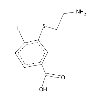 NCCSc1cc(C(=O)O)ccc1I